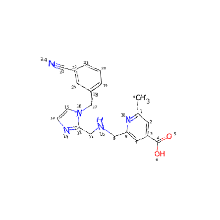 Cc1cc(C(=O)O)cc(CNCc2nccn2Cc2cccc(C#N)c2)n1